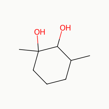 CC1CCCC(C)(O)C1O